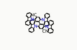 N#Cc1cc(-n2c3ccccc3c3ccccc32)c(-c2cc(-n3c4ccccc4c4ccccc43)c(C#N)cc2-n2c3ccccc3c3ccccc32)cc1-n1c2ccccc2c2ccccc21